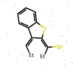 CC/C=c1\c(=C(\S)CC)sc2ccccc12